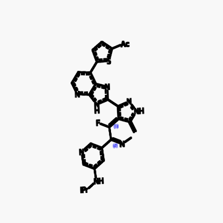 C=c1[nH]nc(-c2nc3c(-c4ccc(C(C)=O)s4)ccnc3[nH]2)/c1=C(F)/C(=N\C)c1cncc(NC(C)C)c1